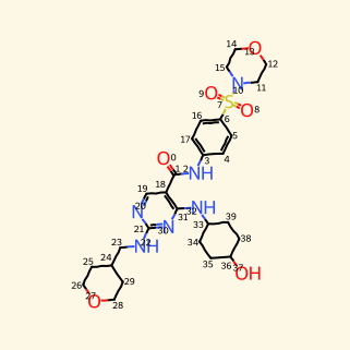 O=C(Nc1ccc(S(=O)(=O)N2CCOCC2)cc1)c1cnc(NCC2CCOCC2)nc1NC1CCC(O)CC1